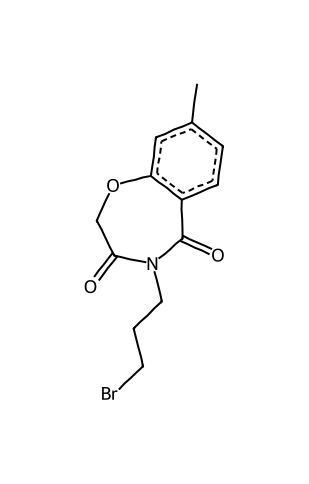 Cc1ccc2c(c1)OCC(=O)N(CCCBr)C2=O